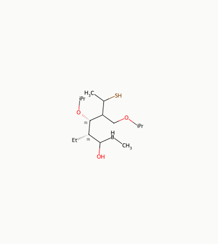 CBC(O)[C@H](CC)[C@H](OC(C)C)C(COC(C)C)C(C)S